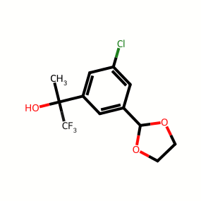 CC(O)(c1cc(Cl)cc(C2OCCO2)c1)C(F)(F)F